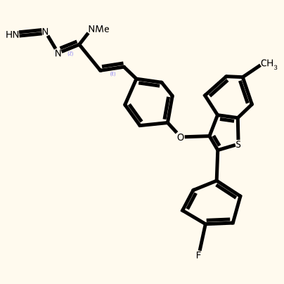 CNC(/C=C/c1ccc(Oc2c(-c3ccc(F)cc3)sc3cc(C)ccc23)cc1)=N\N=N